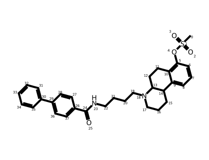 CS(=O)(=O)Oc1cccc2c1CCC1C2CCCN1CCCCNC(=O)c1ccc(-c2ccccc2)cc1